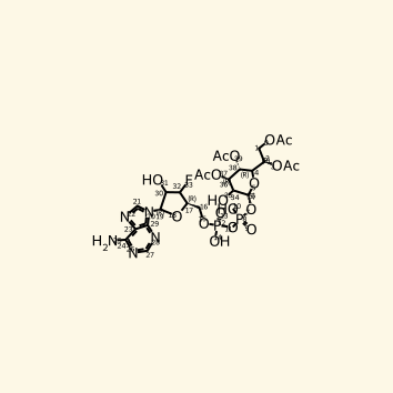 CC(=O)OC[C@@H](OC(C)=O)C1O[C@@H](OP(=O)(O)OP(=O)(O)OC[C@H]2O[C@@H](n3cnc4c(N)ncnc43)C(O)C2F)C(O)[C@@H](OC(C)=O)[C@@H]1OC(C)=O